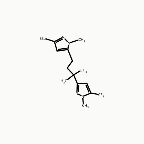 Cn1nc(C(C)(C)C)cc1CCC(C)(C)c1cc(C(F)(F)F)n(C)n1